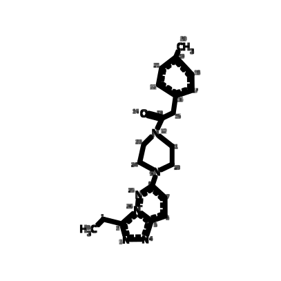 CCc1nnc2ccc(N3CCN(C(=O)Cc4ccc(C)cc4)CC3)nn12